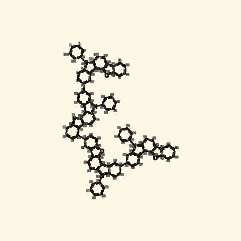 c1ccc(-n2c3ccc(-c4ccc5c6c7sc8cccc(-c9ccc%10oc%11c(ccc%12c%11c%11cc(-c%13ccc%14c%15c%16oc%17ccccc%17c%16ccc%15n(-c%15ccccc%15)c%14c%13)ccc%11n%12-c%11ccccc%11)c%10c9)c8c7ccc6n(-c6ccccc6)c5c4)cc3c3c4oc5ccccc5c4ccc32)cc1